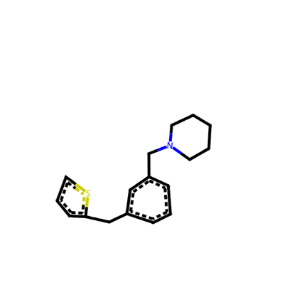 c1cc(Cc2cccs2)cc(CN2CCCCC2)c1